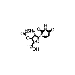 C[C@@H](O)[C@H]1O[C@@H](n2ccc(=O)[nH]c2=O)[C@@H](F)C1O[PH](=O)S